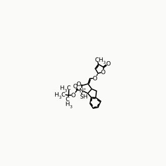 CC1=C[C@H](O/C=C2/C(=O)[N+](S)(C(=O)OC(C)(C)C)C3c4ccccc4CC23)OC1=O